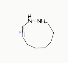 C1=C\NNCCCCCC/1